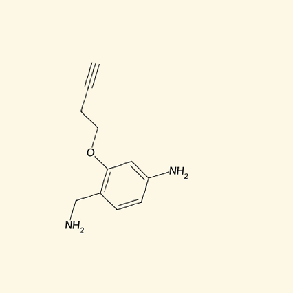 C#CCCOc1cc(N)ccc1CN